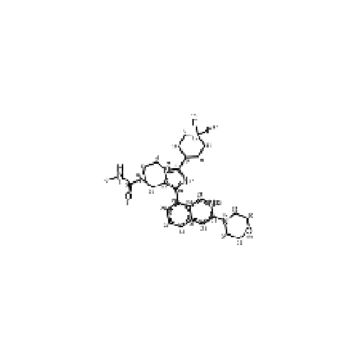 CNC(=O)N1CCn2c(C3CCC(F)(F)CC3)nc(-c3cccc4cc(N5CCOCC5)ncc34)c2C1